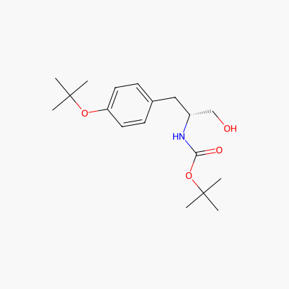 CC(C)(C)OC(=O)N[C@@H](CO)Cc1ccc(OC(C)(C)C)cc1